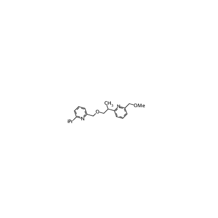 COCc1cccc(C(C)COCc2cccc(C(C)C)n2)n1